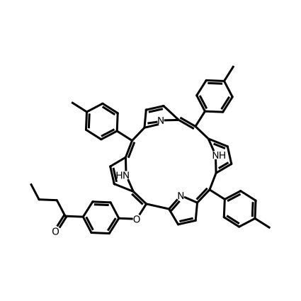 CCCC(=O)c1ccc(Oc2c3nc(c(-c4ccc(C)cc4)c4ccc([nH]4)c(-c4ccc(C)cc4)c4nc(c(-c5ccc(C)cc5)c5ccc2[nH]5)C=C4)C=C3)cc1